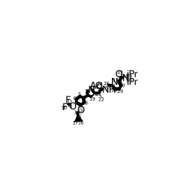 CC(=O)N1CC(c2ccc(OC(F)F)c(OCC3CC3)c2)C[C@@H]1[C@@H](C)C(=O)NCc1cccc(C(=O)N(C(C)C)C(C)C)n1